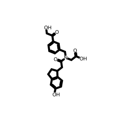 O=C(O)CN(Cc1cccc(C(=O)CO)c1)C(=O)CC1CCc2cc(O)ccc21